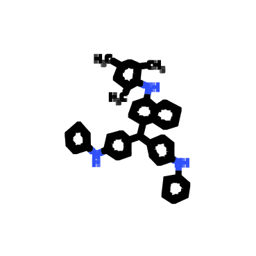 Cc1cc(C)c(Nc2ccc(C(c3ccc(Nc4ccccc4)cc3)c3ccc(Nc4ccccc4)cc3)c3ccccc23)c(C)c1